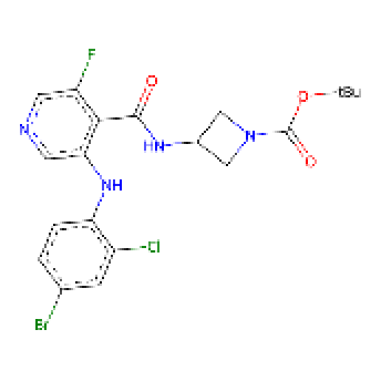 CC(C)(C)OC(=O)N1CC(NC(=O)c2c(F)cncc2Nc2ccc(Br)cc2Cl)C1